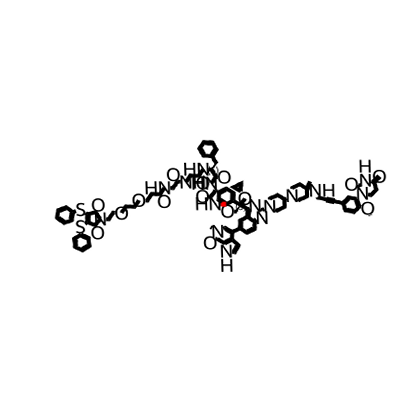 COc1ccc(C#CCNC2(C)CCN(C3CCN(c4nc([C@@](COCNC(=O)CNC(=O)[C@H](Cc5ccccc5)NC(=O)CNC(=O)CNC(=O)CCOCCOCCN5C(=O)C(Sc6ccccc6)=C(Sc6ccccc6)C5=O)(OC5CC5)c5ccccc5)c5cc(-c6cn(C)c(=O)c7[nH]ccc67)ccc5n4)CC3)CC2)cc1N1CCC(=O)NC1=O